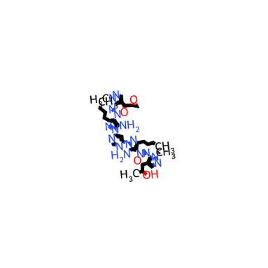 CCCCc1nn(-c2cc(-n3nc(CCCC)c(/N=N/c4c(C(=O)C5CO5)cnn4C)c3N)ncn2)c(N)c1/N=N/c1c(C(=O)C(C)O)cnn1C